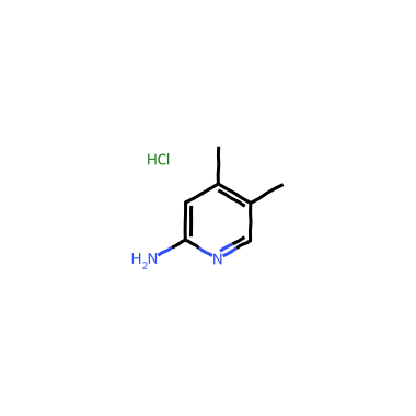 Cc1cnc(N)cc1C.Cl